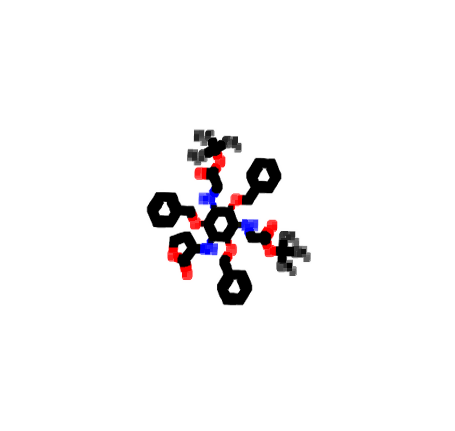 CC(C)(C)OC(=O)CN[C@@H]1[C@H](OCc2ccccc2)[C@H](NCC(=O)OC(C)(C)C)[C@H](OCc2ccccc2)[C@H](NC2CCOC2=O)[C@@H]1OCc1ccccc1